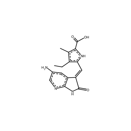 CCc1c(C=C2C(=O)Nc3ncc(N)cc32)[nH]c(C(=O)O)c1C